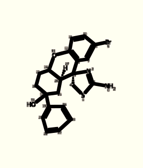 NC1=N[C@]2(CS1)c1cc(Br)ccc1OC1CCC(O)(c3ccccc3)C[C@@H]12